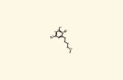 COCCCCc1cc(Br)cc(C)[n+]1[O-]